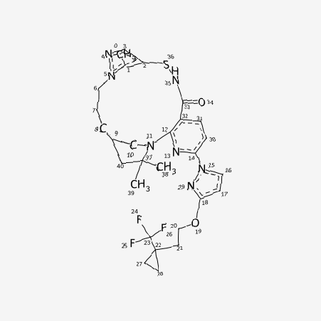 Cc1c2cnn1CCCC1CN(c3nc(-n4ccc(OCCC5(C(F)(F)F)CC5)n4)ccc3C(=O)NS2)C(C)(C)C1